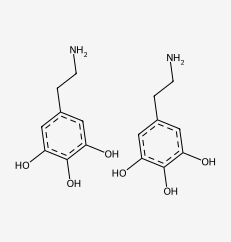 NCCc1cc(O)c(O)c(O)c1.NCCc1cc(O)c(O)c(O)c1